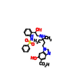 CC(C)(CCn1cnc2cc(C(=O)O)c(O)cc21)NCC(O)c1ccccc1NS(=O)(=O)c1ccccc1